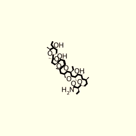 CC[C@@H](C(=O)[C@@H](C)[C@@H](O)[C@H](C)[C@@H]1O[C@@H]([C@@H](CC)C(N)=O)CC[C@@H]1C)[C@H]1O[C@]2(C=C[C@@H](O)[C@]3(CC[C@@](C)([C@H]4CC[C@](O)(CC)[C@H](C)O4)O3)O2)[C@H](C)C[C@@H]1C